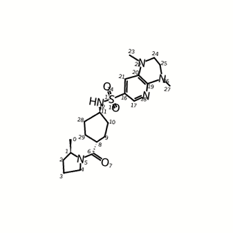 C[C@@H]1CCCN1C(=O)[C@H]1CC[C@H](NS(=O)(=O)c2cnc3c(c2)N(C)CCN3C)CC1